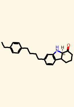 CCc1ccc(CCCCc2ccc3c(c2)N[C@H]2C(=O)CCCC32)cc1